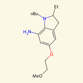 CCCCN1c2c(N)cc(OCCOC)cc2CC1CC